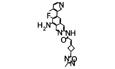 Cc1noc(C2CC(=CC(=O)Nc3cc4cc(-c5cnccc5C)c(F)c(N)c4cn3)C2)n1